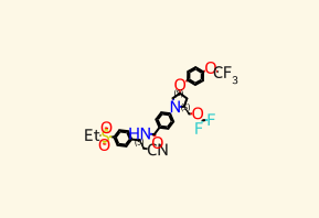 CCS(=O)(=O)c1ccc([C@H](CC#N)NC(=O)c2ccc(N3C[C@@H](Oc4ccc(OC(F)(F)F)cc4)C[C@H]3COC(F)F)cc2)cc1